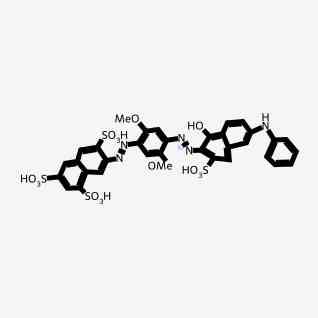 COc1cc(/N=N/c2c(S(=O)(=O)O)cc3cc(Nc4ccccc4)ccc3c2O)c(OC)cc1N=Nc1cc2c(S(=O)(=O)O)cc(S(=O)(=O)O)cc2cc1S(=O)(=O)O